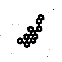 c1ccc(-c2cccc(-c3ccccc3)c2-c2cccc(-c3c4ccccc4c(-c4cccc(-c5ccc6cccnc6c5)c4)c4ccccc34)c2)cc1